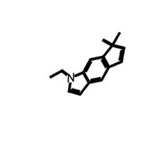 CCn1ccc2cc3c(cc21)C(C)(C)C=C3